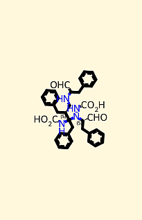 O=CC(Cc1ccccc1)NC[C@H](Cc1ccccc1)C(Cc1ccccc1)(NC(=O)O)N(NC(=O)O)[C@H](C=O)Cc1ccccc1